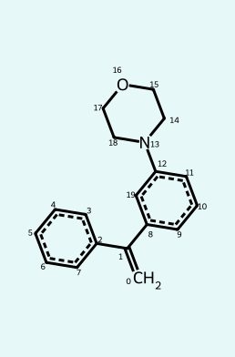 C=C(c1ccccc1)c1cccc(N2CCOCC2)c1